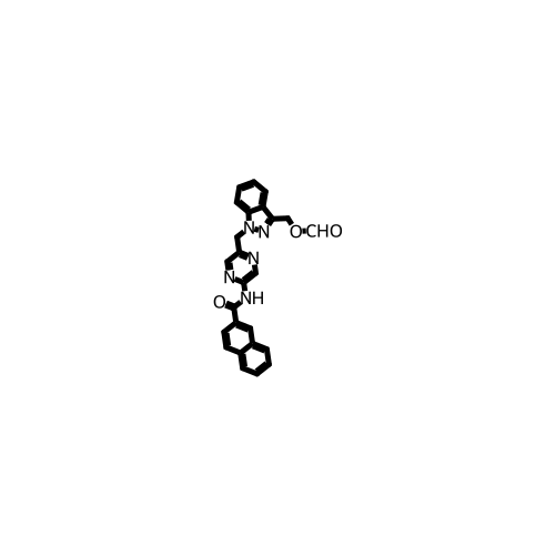 O=COCc1nn(Cc2cnc(NC(=O)c3ccc4ccccc4c3)cn2)c2ccccc12